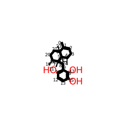 CC1=CCC[C@H]2[C@](C)(Cc3c(O)ccc(O)c3O)[C@@H](C)CC[C@]12C